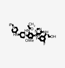 C=CC(=O)Nc1cc(Nc2cc(N[C@H](CCO)c3cc(F)cc(F)c3)ncn2)c(OC)cc1N1CCC(NC2CCN(C(C)C)CC2)CC1